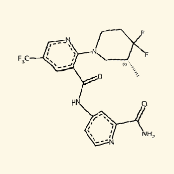 C[C@@H]1CN(c2ncc(C(F)(F)F)cc2C(=O)Nc2ccnc(C(N)=O)c2)CCC1(F)F